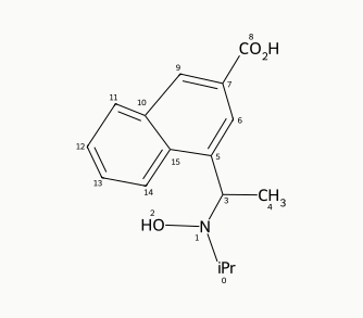 CC(C)N(O)C(C)c1cc(C(=O)O)cc2ccccc12